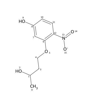 CC(O)CCOc1cc(O)ccc1[N+](=O)[O-]